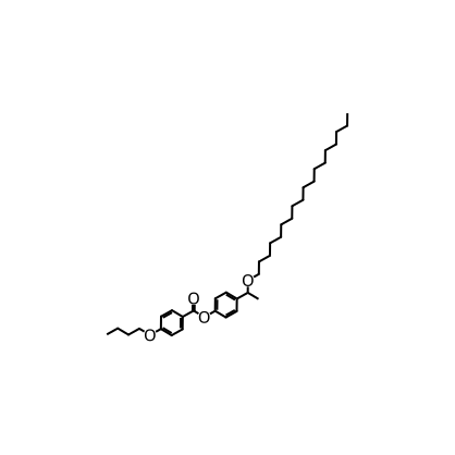 CCCCCCCCCCCCCCCCCCOC(C)c1ccc(OC(=O)c2ccc(OCCCC)cc2)cc1